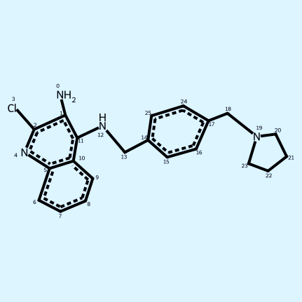 Nc1c(Cl)nc2ccccc2c1NCc1ccc(CN2CCCC2)cc1